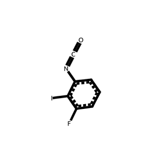 O=C=Nc1cccc(F)c1I